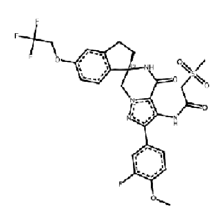 COc1ccc(-c2nn3c(c2NC(=O)CS(C)(=O)=O)C(=O)N[C@]2(CCc4cc(OCC(F)(F)F)ccc42)C3)cc1F